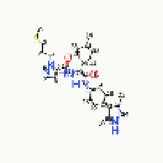 CSCCCn1nccc1C(=O)N[C@H](C(=O)Nc1ccc(-c2c(C)n[nH]c2C)cc1)C1CCC(C)CC1